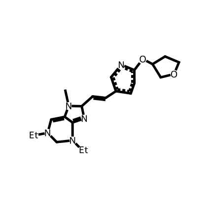 CCN1C=C2C(=NC(C=Cc3ccc(OC4CCOC4)nc3)N2C)N(CC)C1